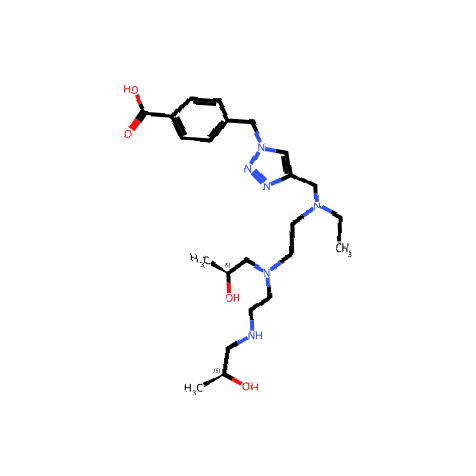 CCN(CCN(CCNC[C@H](C)O)C[C@H](C)O)Cc1cn(Cc2ccc(C(=O)O)cc2)nn1